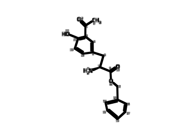 CC(=O)c1cc(C[C@H](N)C(=O)OCc2ccccc2)ccc1O